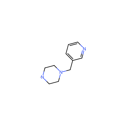 c1cncc(CN2CC[N]CC2)c1